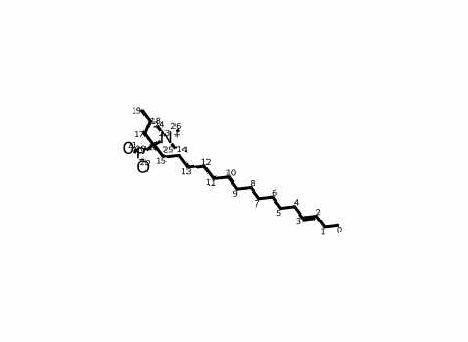 CCC=CCCCCCCCCCCCCC(CCC)(P(=O)=O)[N+](C)(C)C